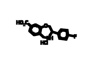 Cl.O=C(O)c1ccc2c(c1)OCC(c1ccc(F)cc1)NC2